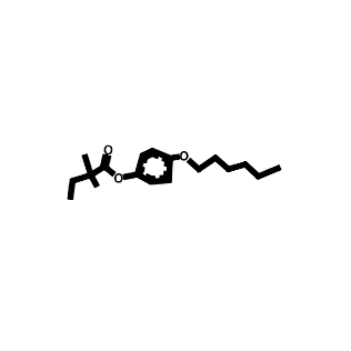 CCCCCCOc1ccc(OC(=O)C(C)(C)CC)cc1